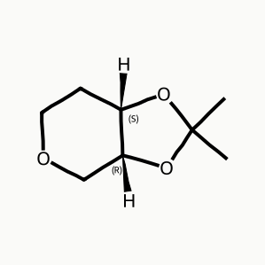 CC1(C)O[C@H]2CCOC[C@H]2O1